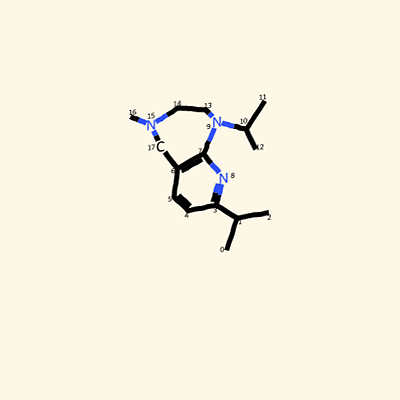 CC(C)c1ccc2c(n1)N(C(C)C)CCN(C)C2